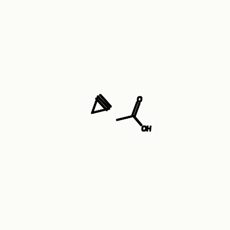 C1#CC1.CC(=O)O